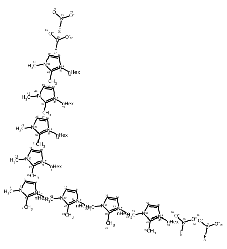 CCCCCC[n+]1ccn(C)c1C.CCCCCC[n+]1ccn(C)c1C.CCCCCC[n+]1ccn(C)c1C.CCCCCC[n+]1ccn(C)c1C.CCCCCC[n+]1ccn(C)c1C.CCCCCC[n+]1ccn(C)c1C.CCCCCC[n+]1ccn(C)c1C.CCCCCC[n+]1ccn(C)c1C.[O-]B([O-])F.[O-]B([O-])F.[O-]B([O-])F.[O-]B([O-])F